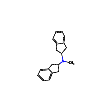 CN(C1Cc2ccccc2C1)C1Cc2ccccc2C1